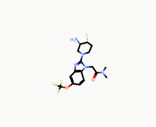 CN(C)C(=O)Cn1c(N2CC[C@@H](F)[C@H](N)C2)nc2cc(OC(F)(F)F)ccc21